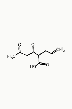 C=CCC(C(=O)O)C(=O)CC(C)=O